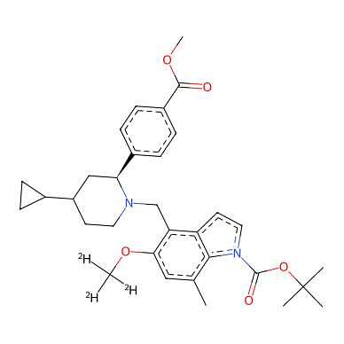 [2H]C([2H])([2H])Oc1cc(C)c2c(ccn2C(=O)OC(C)(C)C)c1CN1CCC(C2CC2)C[C@H]1c1ccc(C(=O)OC)cc1